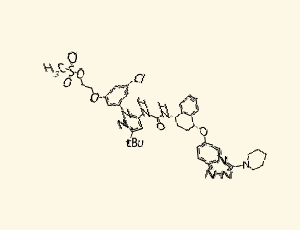 CC(C)(C)c1cc(NC(=O)N[C@H]2CC[C@@H](Oc3ccc4nnc(N5CCCCC5)n4c3)c3ccccc32)n(-c2cc(Cl)cc(OCCOS(C)(=O)=O)c2)n1